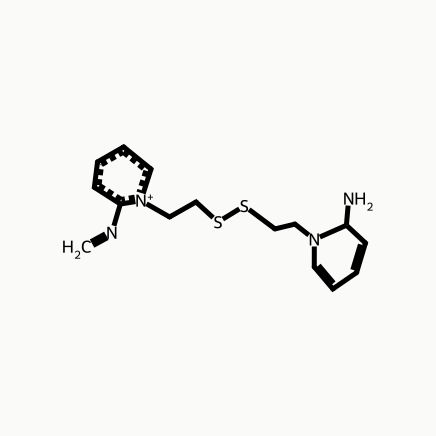 C=Nc1cccc[n+]1CCSSCCN1C=CC=CC1N